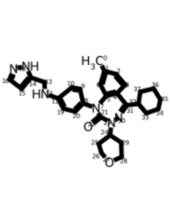 Cc1ccc2c(c1)N(c1ccc(NCc3ccn[nH]3)cc1)C(=O)N(C1CCOCC1)N=C2C1CCCCC1